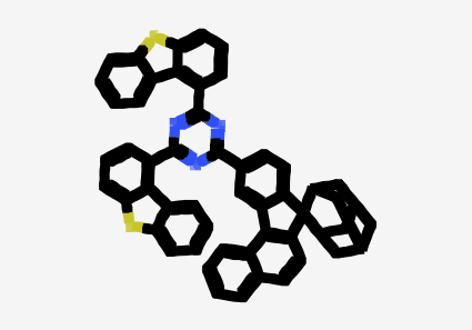 c1ccc2c3c(ccc2c1)C1(c2ccc(-c4nc(-c5cccc6sc7ccccc7c56)nc(-c5cccc6sc7ccccc7c56)n4)cc2-3)C2CC3CC(C2)CC1C3